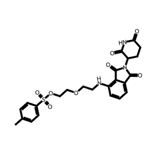 Cc1ccc(S(=O)(=O)OCCOCCNc2cccc3c2C(=O)N(C2CCC(=O)NC2=O)C3=O)cc1